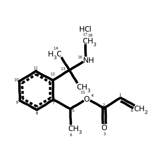 C=CC(=O)OC(C)c1ccccc1C(C)(C)NC.Cl